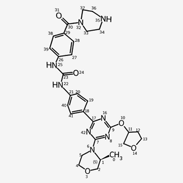 C[C@H]1COCCN1c1nc(OC2CCOC2)nc(-c2ccc(NC(=O)Nc3ccc(C(=O)N4CCNCC4)cc3)cc2)n1